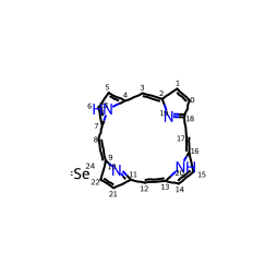 C1=Cc2cc3ccc(cc4nc(cc5ccc(cc1n2)[nH]5)C=C4)[nH]3.[Se]